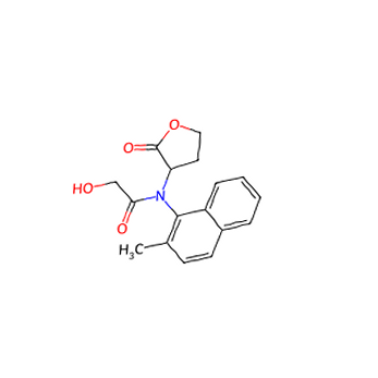 Cc1ccc2ccccc2c1N(C(=O)CO)C1CCOC1=O